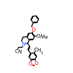 COc1cc2c(cc1OCc1ccccc1)CCN(CCC#N)C2/C=C/c1cc2c(cc1C)OCO2